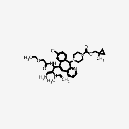 C=CN(C)/C(=C\N)C(NC(=O)COCC)C1=Cc2cccnc2C(N2CCN(C(=O)OCC3(C)CC3)CC2)c2ccc(Cl)cc21